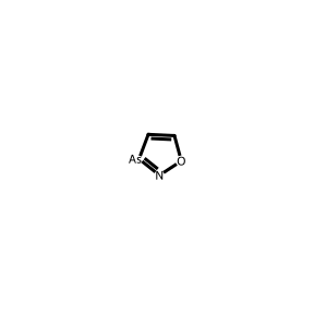 C1=C[As]=NO1